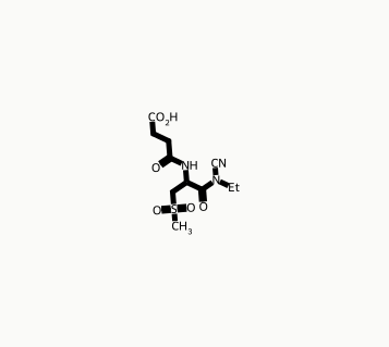 CCN(C#N)C(=O)C(CS(C)(=O)=O)NC(=O)CCC(=O)O